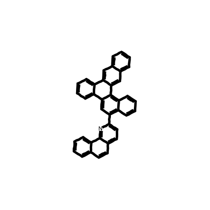 c1ccc2cc3c(cc2c1)c1ccccc1c1cc(-c2ccc4ccc5ccccc5c4n2)c2ccccc2c13